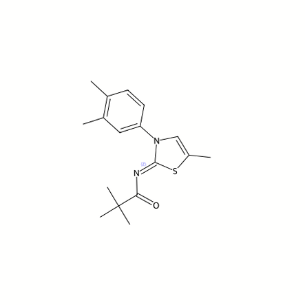 Cc1cn(-c2ccc(C)c(C)c2)/c(=N/C(=O)C(C)(C)C)s1